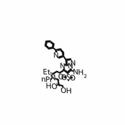 CCCN(C(=O)[C@H](O)CO)[C@H](CC)CCc1nc2c(-c3ccc(-c4ccccc4)nc3)cnn2c(N)c1S(C)(=O)=O